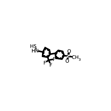 CS(=O)(=O)c1ccc(-c2ccc(NS)cc2C(F)(F)F)cc1